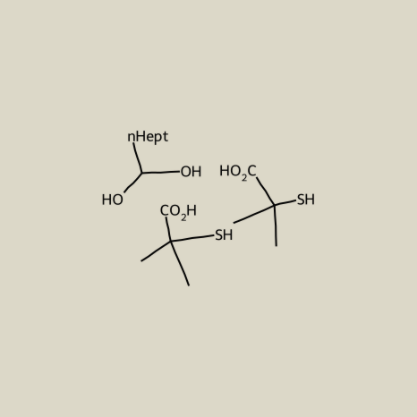 CC(C)(S)C(=O)O.CC(C)(S)C(=O)O.CCCCCCCC(O)O